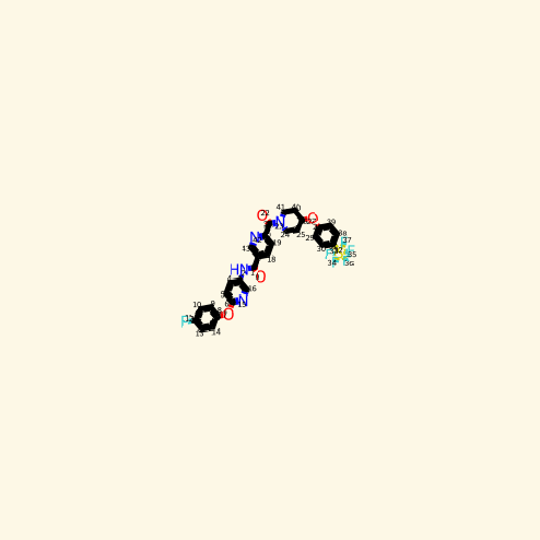 O=C(Nc1ccc(Oc2ccc(F)cc2)nc1)c1ccc(C(=O)N2CCC(Oc3ccc(S(F)(F)(F)(F)F)cc3)CC2)nc1